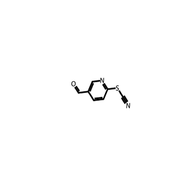 N#CSc1ccc(C=O)cn1